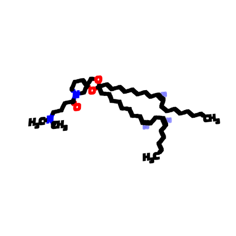 CCCCC/C=C\C/C=C\CCCCCCCCC1(CCCCCCCC/C=C\CCCCCCCC)OCC2(CCCN(C(=O)CCCN(C)C)C2)O1